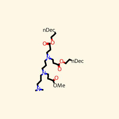 CCCCCCCCCCCCOC(=O)CCN(CCCN(CCCN(C)C)CCC(=O)OC)CCC(=O)OCCCCCCCCCCCC